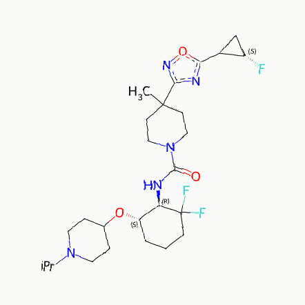 CC(C)N1CCC(O[C@H]2CCCC(F)(F)[C@@H]2NC(=O)N2CCC(C)(c3noc(C4C[C@@H]4F)n3)CC2)CC1